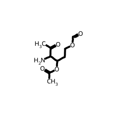 CC(=O)OC(CCOC=O)C(N)C(C)=O